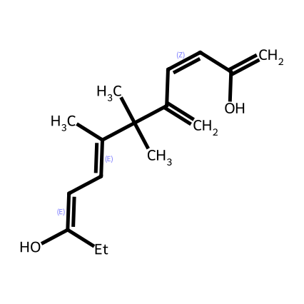 C=C(O)/C=C\C(=C)C(C)(C)/C(C)=C/C=C(/O)CC